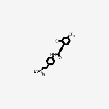 CCN(CC)CCc1ccc(NC(=O)C#Cc2ccc(C(F)(F)F)cc2Cl)cc1